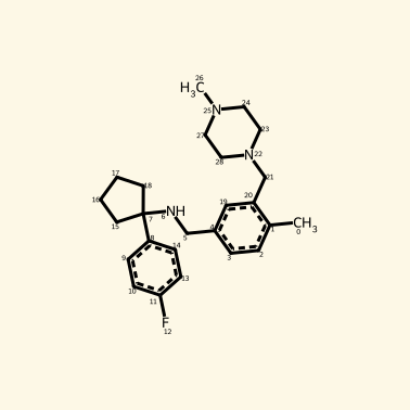 Cc1ccc(CNC2(c3ccc(F)cc3)CCCC2)cc1CN1CCN(C)CC1